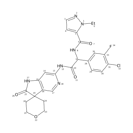 CCn1nccc1C(=O)NC(C(=O)Nc1cc2c(cn1)C1(CCOCC1)C(=O)N2)c1ccc(Cl)c(F)c1